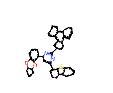 c1ccc2c(c1)Oc1cccc(-c3cc(-c4cccc5c4sc4ccccc45)nc(-c4ccc5c6ccccc6c6ccccc6c5c4)n3)c1O2